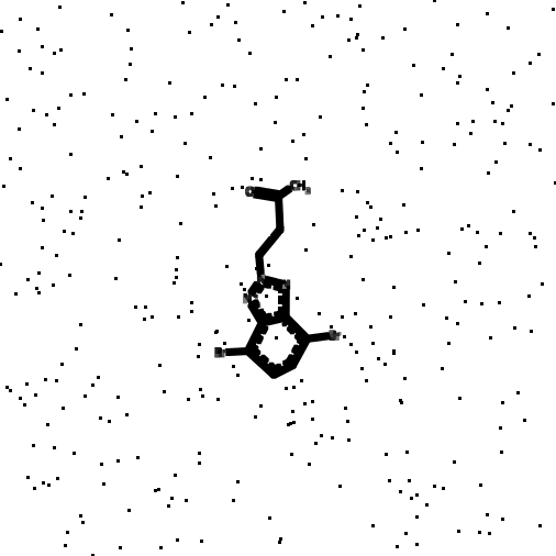 CC(=O)CCn1nc2c(Br)ccc(Br)c2n1